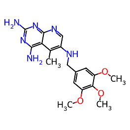 COc1cc(CNc2cnc3nc(N)nc(N)c3c2C)cc(OC)c1OC